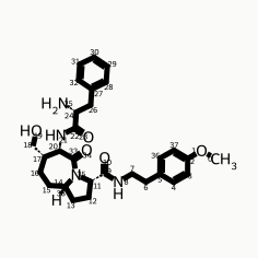 COc1ccc(CCNC(=O)[C@@H]2CC[C@@H]3CC[C@H](CO)[C@H](NC(=O)[C@H](N)Cc4ccccc4)C(=O)N32)cc1